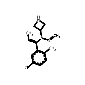 C=NN(/C(=C\C)c1cc(Cl)ccc1C)C1CNC1